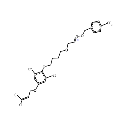 CCc1cc(OCC=C(Cl)Cl)cc(CC)c1OCCCCOC/C=N/OCc1ccc(C(F)(F)F)cc1